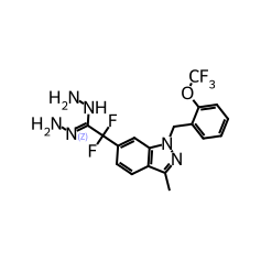 Cc1nn(Cc2ccccc2OC(F)(F)F)c2cc(C(F)(F)/C(=N/N)NN)ccc12